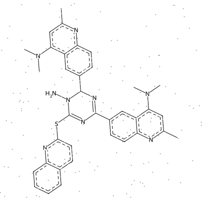 Cc1cc(N(C)C)c2cc(C3=NC(c4ccc5nc(C)cc(N(C)C)c5c4)N(N)C(Sc4ccc5ccccc5n4)=N3)ccc2n1